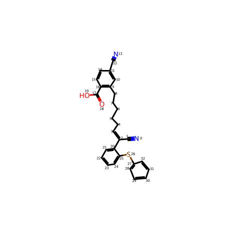 N#C/C(=C\CCCCCc1cc(C#N)ccc1C(=O)O)c1ccccc1Sc1ccccc1